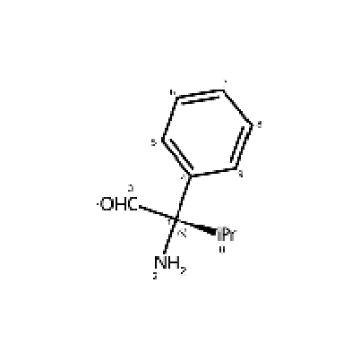 CC(C)[C@@](N)([C]=O)c1ccccc1